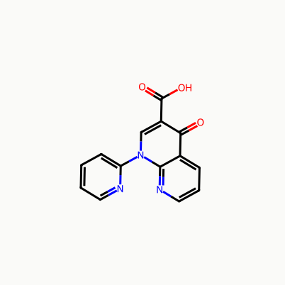 O=C(O)c1cn(-c2ccccn2)c2ncccc2c1=O